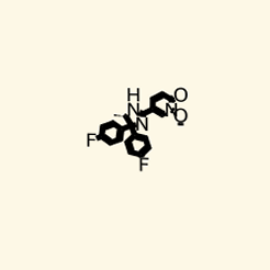 COn1cc(C2=NC(c3ccc(F)cc3)(c3ccc(F)cc3)[C@H](C)N2)ccc1=O